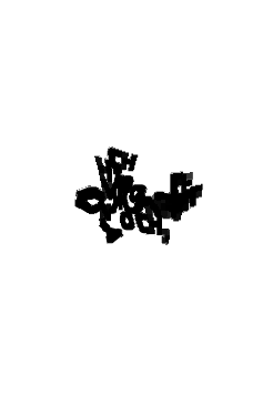 C#CC(=O)C1Nc2ccccc2N(CC2CC2)C[C@@H]1NC(=O)C(C)C(=O)NCC(F)(F)C(F)(F)F